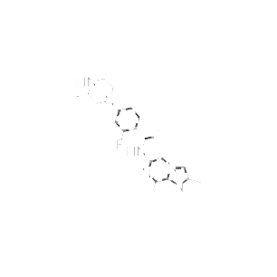 CCc1nc(NC(=O)c2ccc(N3CCN[C@H](C)C3)cc2F)cn2cc(C)nc12